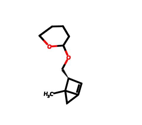 CC12CC1=C[C@H]2COC1CCCCO1